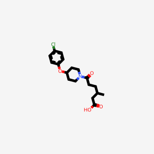 CC(CCC(=O)N1CCC(Oc2ccc(Cl)cc2)CC1)CC(=O)O